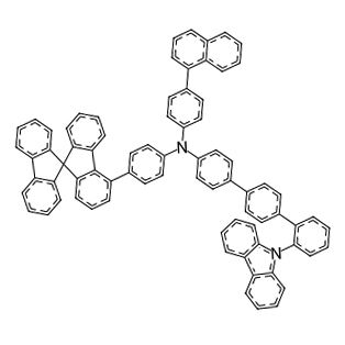 c1ccc(-n2c3ccccc3c3ccccc32)c(-c2ccc(-c3ccc(N(c4ccc(-c5cccc6c5-c5ccccc5C65c6ccccc6-c6ccccc65)cc4)c4ccc(-c5cccc6ccccc56)cc4)cc3)cc2)c1